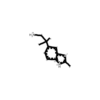 Cc1nc2cc(C(C)(C)CN)ccc2[nH]1